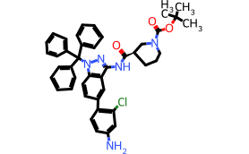 CC(C)(C)OC(=O)N1CCC[C@@H](C(=O)Nc2nn(C(c3ccccc3)(c3ccccc3)c3ccccc3)c3ccc(-c4ccc(N)cc4Cl)cc23)C1